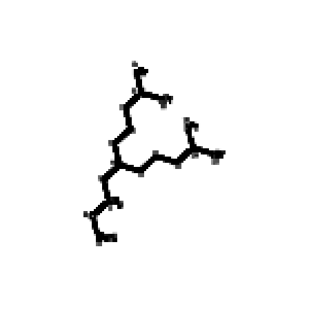 CCCC(C)O[SiH2]CN(CCCN(CCC)CCC)CCCN(CCC)CCC